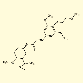 COc1cc(/C=C/C(=O)O[C@@H]2CC[C@@H](OC)C(C3(C)CO3)C2)cc(OC)c1OCCON